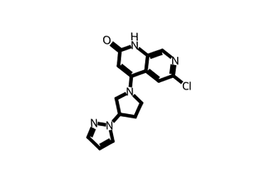 O=c1cc(N2CCC(n3cccn3)C2)c2cc(Cl)ncc2[nH]1